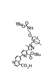 Cc1c(-c2ccc(-c3ccc4nccc(C(=O)O)c4c3)nc2C(=O)OC(C)(C)C)cnn1CC12CC3(C)CC(C)(C1)CC(OCCNC(=O)OC(C)(C)C)(C3)C2